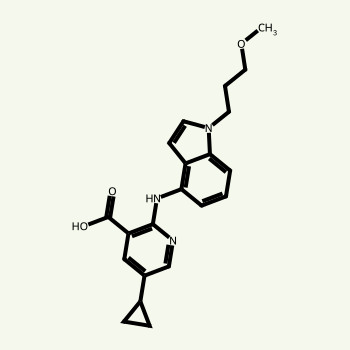 COCCCn1ccc2c(Nc3ncc(C4CC4)cc3C(=O)O)cccc21